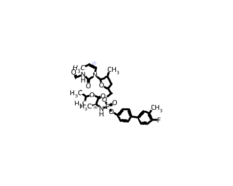 C/C=C\N(C(=O)NC=O)C1OC(COP(=O)(N[C@@H](C)C(=O)OC(C)C)Oc2ccc(-c3ccc(F)c(C)c3)cc2)CC1C